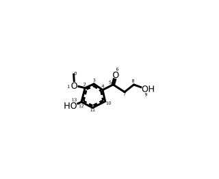 COc1cc(C(=O)CCO)ccc1O